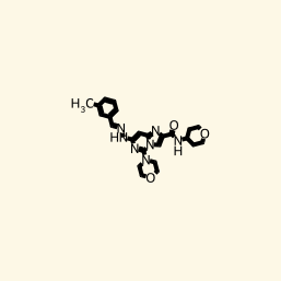 Cc1cccc(/C=N/Nc2cc3nc(C(=O)NC4CCOCC4)cn3c(N3CCOCC3)n2)c1